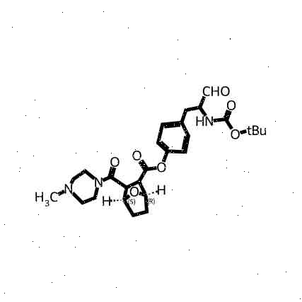 CN1CCN(C(=O)C2C(C(=O)Oc3ccc(CC(C=O)NC(=O)OC(C)(C)C)cc3)[C@H]3CC[C@@H]2O3)CC1